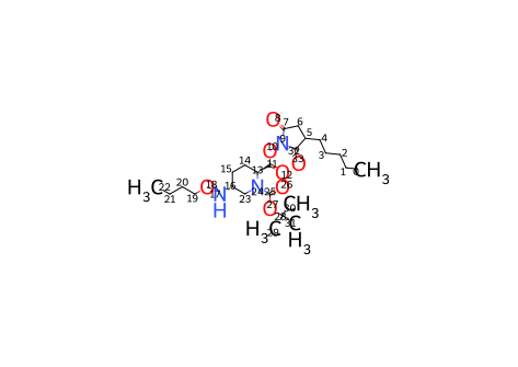 CCCCCC1CC(=O)N(OC(=O)[C@@H]2CC[C@@H](NOCCCC)CN2C(=O)OC(C)(C)C)C1=O